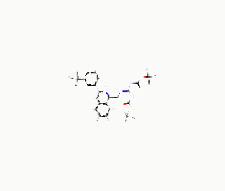 Cc1cc2cc(-c3cccc(C(C)(C)C)c3)nc(CN=C(NC(=O)OC(C)(C)C)NC(=O)OC(C)(C)C)c2cc1C